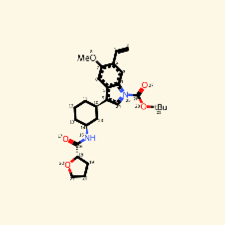 C=Cc1cc2c(cc1OC)c([C@@H]1CCC[C@H](NC(=O)[C@@H]3CCCO3)C1)cn2C(=O)OC(C)(C)C